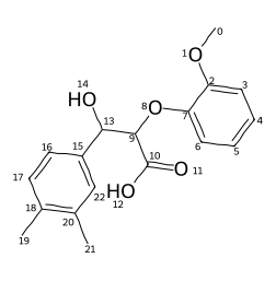 COc1ccccc1OC(C(=O)O)C(O)c1ccc(C)c(C)c1